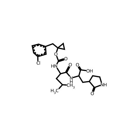 CC(C)CC(NC(=O)OC1(Cc2cccc(Cl)c2)CC1)C(=O)NC(CC1CCNC1=O)C(=O)O